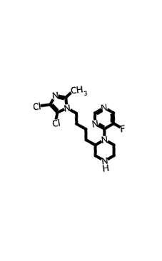 Cc1nc(Cl)c(Cl)n1CCCCC1CNCCN1c1ncncc1F